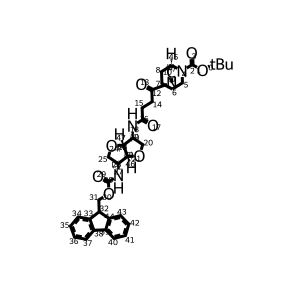 CC(C)(C)OC(=O)N1CC2CC[C@@H]1CN2C(=O)CCC(=O)N[C@H]1CO[C@H]2[C@@H]1OC[C@@H]2NC(=O)OCC1c2ccccc2-c2ccccc21